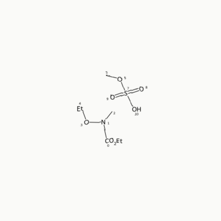 CCOC(=O)N(C)OCC.COS(=O)(=O)O